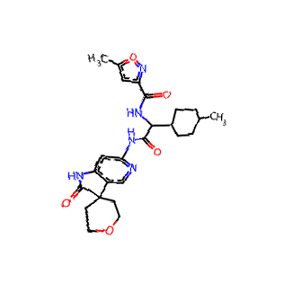 Cc1cc(C(=O)NC(C(=O)Nc2cc3c(cn2)C2(CCOCC2)C(=O)N3)C2CCC(C)CC2)no1